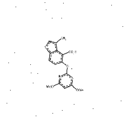 COc1cc(OC)nc(Oc2ccc3scc(C)c3c2C(=O)O)n1